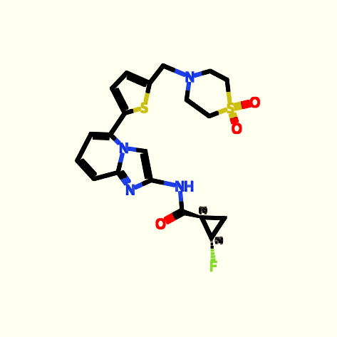 O=C(Nc1cn2c(-c3ccc(CN4CCS(=O)(=O)CC4)s3)cccc2n1)[C@H]1C[C@@H]1F